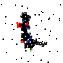 C=C/C(=C\C=C(/C)F)n1c(CCCCC(=O)O)nc2cc(-c3cc(C(O)c4ccc(CC)c(/C=C\C)n4)on3)ccc2c1=O